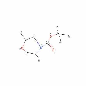 CC1CN(C(=O)OC(C)(C)C)C(C)CO1